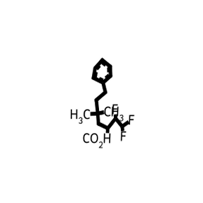 CC(C)(CCc1ccccc1)CC(C(=O)O)C(F)C(F)F